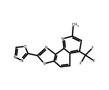 Cc1cc(C(F)(F)F)c2ccc3sc(-c4nnco4)nc3c2n1